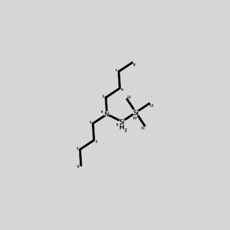 CCCCN(CCCC)[SiH2][Si](C)(C)C